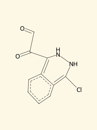 O=CC(=O)C1=c2ccccc2=C(Cl)NN1